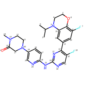 CC(C)N1CCOc2c(F)cc(-c3nc(Nc4ccc(N5CCN(C)C(=O)C5)cn4)ncc3F)cc21